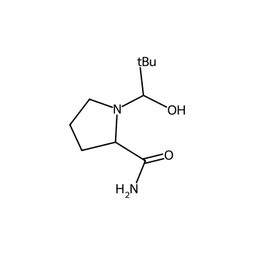 CC(C)(C)C(O)N1CCCC1C(N)=O